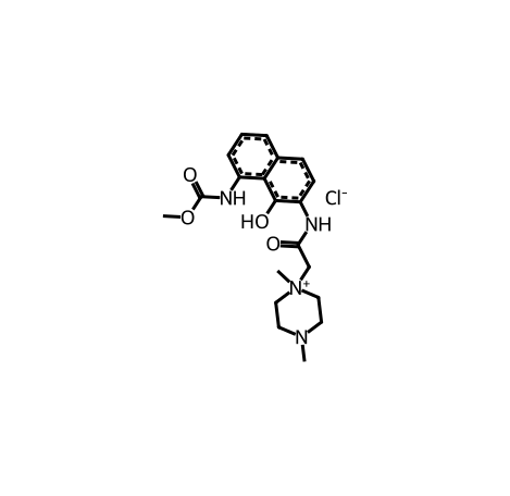 COC(=O)Nc1cccc2ccc(NC(=O)C[N+]3(C)CCN(C)CC3)c(O)c12.[Cl-]